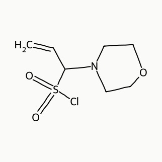 C=CC(N1CCOCC1)S(=O)(=O)Cl